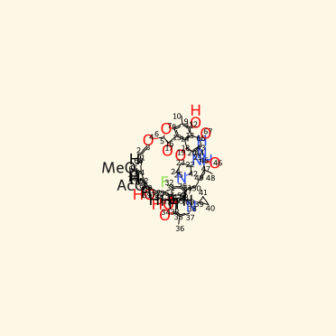 CO[C@H]1/C=C/O[C@@]2(C)Oc3c(C)c(O)c4c(c3C2=O)C(=O)C(N[C@H]2CCN(c3cc5c(cc3F)c(=O)c(C)cn5C3CC3)C2)=C(NC(=O)/C(C)=C\C=C\[C@H](C)[C@H](O)[C@@H](C)[C@@H](O)[C@@H](C)[C@H](OC(C)=O)[C@@H]1C)C4=O